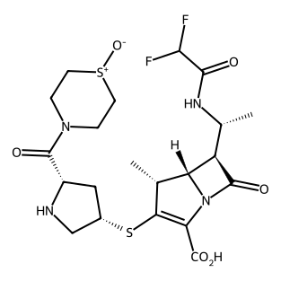 C[C@@H](NC(=O)C(F)F)[C@H]1C(=O)N2C(C(=O)O)=C(S[C@@H]3CN[C@H](C(=O)N4CC[S+]([O-])CC4)C3)[C@H](C)[C@H]12